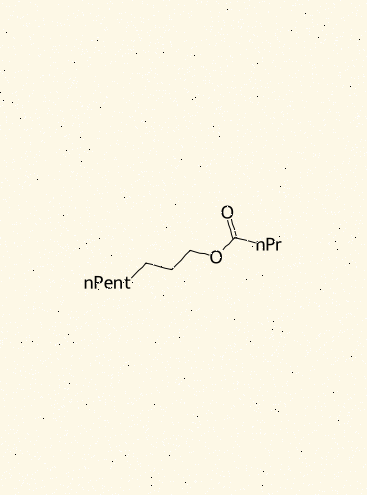 CCCCCCCCOC(=O)CCC